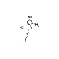 CCCCOCCOc1ncc(N)cc1N.Cl